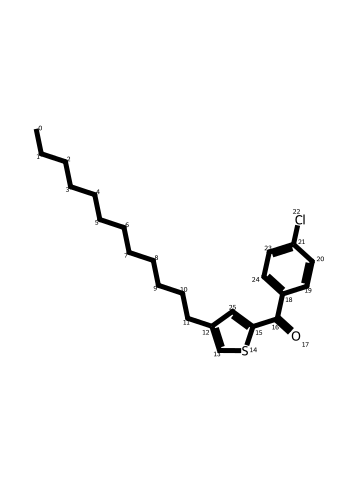 CCCCCCCCCCCCc1csc(C(=O)c2ccc(Cl)cc2)c1